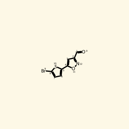 O=[C]c1cc(-c2ccc(Br)s2)on1